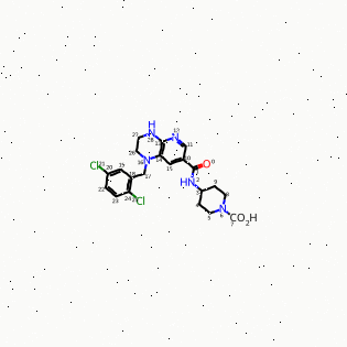 O=C(NC1CCN(C(=O)O)CC1)c1cnc2c(c1)N(Cc1cc(Cl)ccc1Cl)CCN2